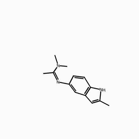 CC(=Nc1ccc2[nH]c(C)cc2c1)N(C)C